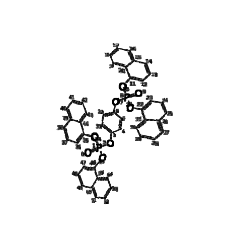 O=P(Oc1ccc(OP(=O)(Oc2cccc3ccccc23)Oc2cccc3ccccc23)cc1)(Oc1cccc2ccccc12)Oc1cccc2ccccc12